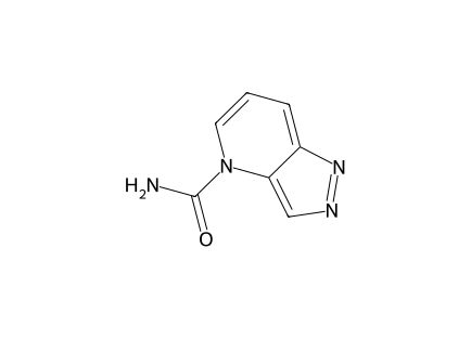 NC(=O)n1cccc2nncc1-2